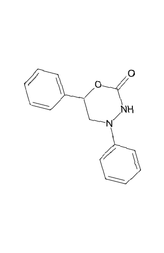 O=C1NN(c2ccccc2)CC(c2ccccc2)O1